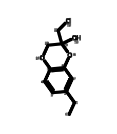 CCc1ccc2c(c1)OC(O)(CCl)CO2